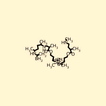 BC(=C)NC(C)CCC(C)NCC(C)C(=O)OCCC[Si](C)(C)O[Si](C)(C)CCCOC(=O)C(C)CCNC